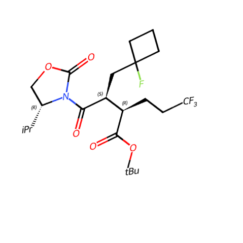 CC(C)[C@@H]1COC(=O)N1C(=O)[C@@H](CC1(F)CCC1)[C@@H](CCC(F)(F)F)C(=O)OC(C)(C)C